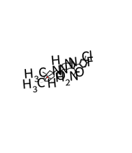 C[C@]12C[C@H]3CC(NC(=O)N4CCn5nc(-c6ccc(F)c(Cl)c6)c(C(N)=O)c5C4)(C1)C[C@@](C)(C3)C2